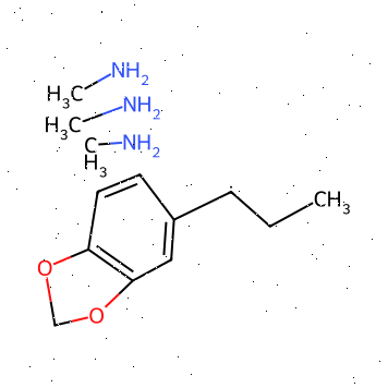 CC[CH]c1ccc2c(c1)OCO2.CN.CN.CN